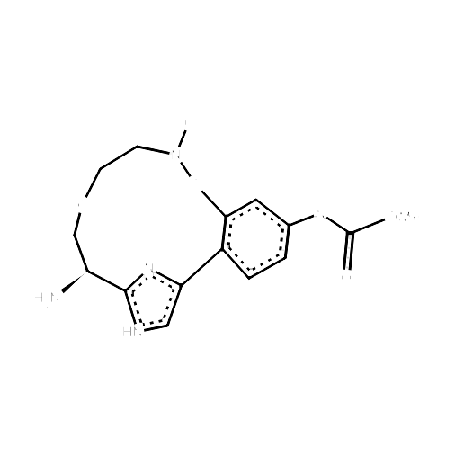 COC(=O)Nc1ccc2c(c1)CN(C)CCCC[C@H](N)c1nc-2c[nH]1